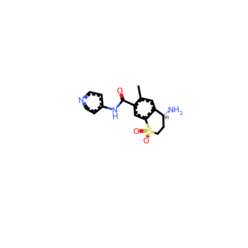 Cc1cc2c(cc1C(=O)Nc1ccncc1)S(=O)(=O)CC[C@H]2N